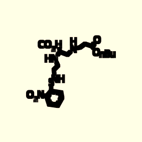 CCCCOC(=O)CCNCC(NCCNSc1ccccc1[N+](=O)[O-])C(=O)O